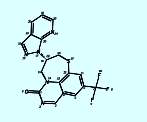 O=c1ncc2cc(C(F)(F)F)cc3c2n1C[C@H](n1ncc2cccnc21)CS3